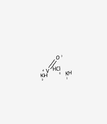 Cl.[KH].[KH].[O]=[V]